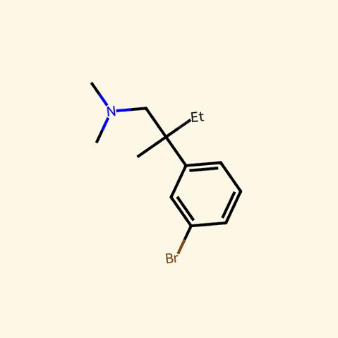 CCC(C)(CN(C)C)c1cccc(Br)c1